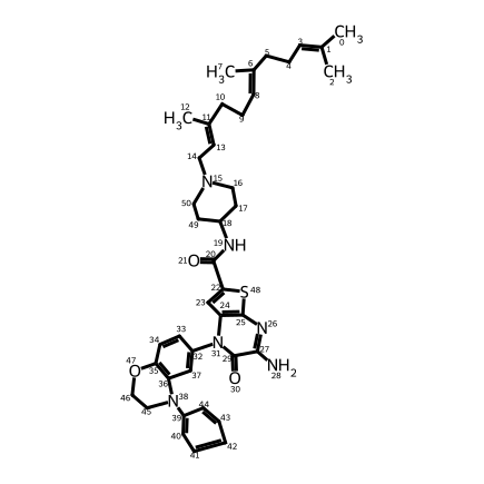 CC(C)=CCC/C(C)=C/CC/C(C)=C/CN1CCC(NC(=O)c2cc3c(nc(N)c(=O)n3-c3ccc4c(c3)N(c3ccccc3)CCO4)s2)CC1